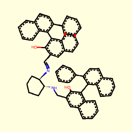 Oc1c(/C=N/[C@@H]2CCCC[C@H]2NCc2cc3ccccc3c(-c3c(-c4ccccc4)ccc4ccccc34)c2O)cc2ccccc2c1-c1c(-c2ccccc2)ccc2ccccc12